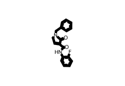 O=C(Nc1ccccc1F)C1=CCN(Cc2ccccc2)C1=O